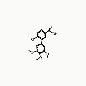 COc1cc(-c2cc(C(=O)O)ccc2Cl)cc(OC)c1OC